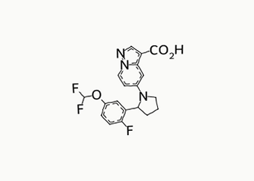 O=C(O)c1cnn2ccc(N3CCCC3c3cc(OC(F)F)ccc3F)cc12